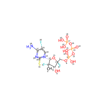 CC1(F)[C@@H](O)[C@@](F)(COP(=O)(O)OP(=O)(O)OP(=O)(O)O)O[C@H]1n1cc(F)c(N)nc1=S